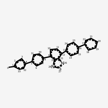 Cc1ccc(-c2ccc(-c3ccc(-c4ccc(-c5ccccc5)cc4)c4nsnc34)cc2)cc1